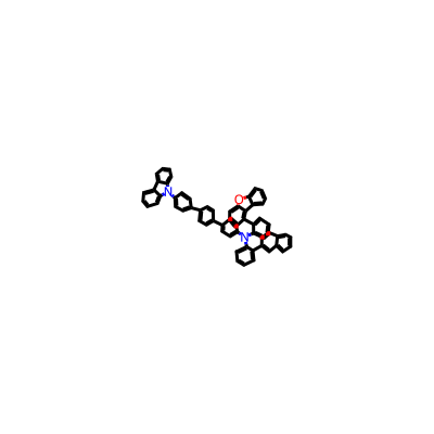 c1ccc(N(c2ccc(-c3ccc(-c4ccc(-n5c6ccccc6c6ccccc65)cc4)cc3)cc2)c2ccccc2-c2cccc3oc4ccccc4c23)c(-c2ccc3ccccc3c2)c1